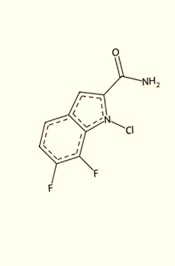 NC(=O)c1cc2ccc(F)c(F)c2n1Cl